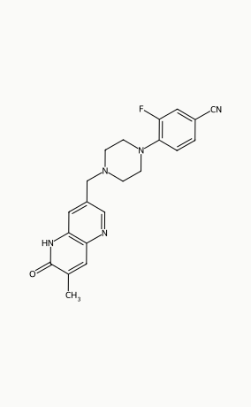 Cc1cc2ncc(CN3CCN(c4ccc(C#N)cc4F)CC3)cc2[nH]c1=O